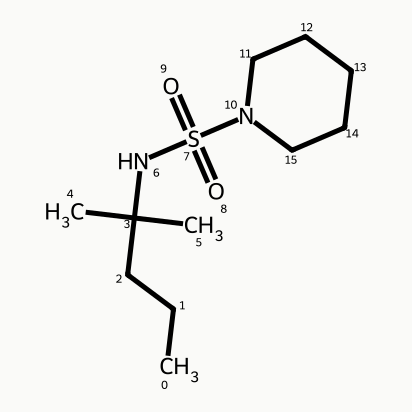 CCCC(C)(C)NS(=O)(=O)N1CCCCC1